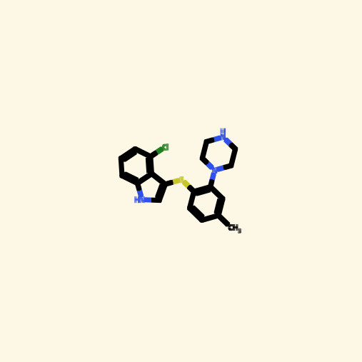 Cc1ccc(Sc2c[nH]c3cccc(Cl)c23)c(N2CCNCC2)c1